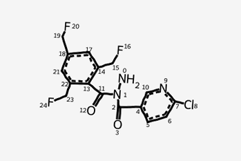 NN(C(=O)c1ccc(Cl)nc1)C(=O)c1c(CF)cc(CF)cc1CF